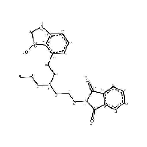 CCCN(CCCN1C(=O)c2ccccc2C1=O)CCc1cccc2c1[S+]([O-])CN2